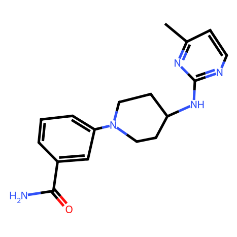 Cc1ccnc(NC2CCN(c3cccc(C(N)=O)c3)CC2)n1